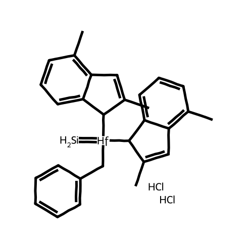 CC1=Cc2c(C)cccc2[CH]1[Hf](=[SiH2])([CH2]c1ccccc1)[CH]1C(C)=Cc2c(C)cccc21.Cl.Cl